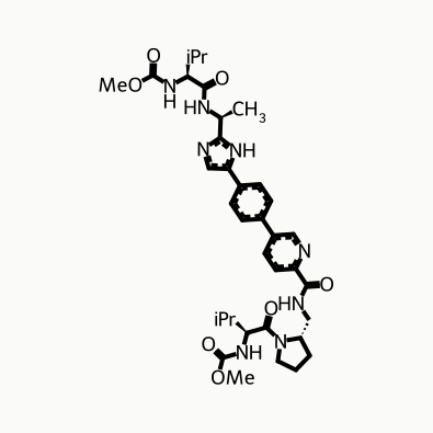 COC(=O)N[C@H](C(=O)N[C@@H](C)c1ncc(-c2ccc(-c3ccc(C(=O)NC[C@@H]4CCCN4C(=O)[C@@H](NC(=O)OC)C(C)C)nc3)cc2)[nH]1)C(C)C